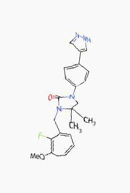 COc1cccc(CN2C(=O)N(c3ccc(-c4cn[nH]c4)cc3)CC2(C)C)c1F